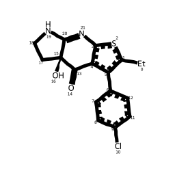 CCc1sc2c(c1-c1ccc(Cl)cc1)C(=O)[C@]1(O)CCNC1=N2